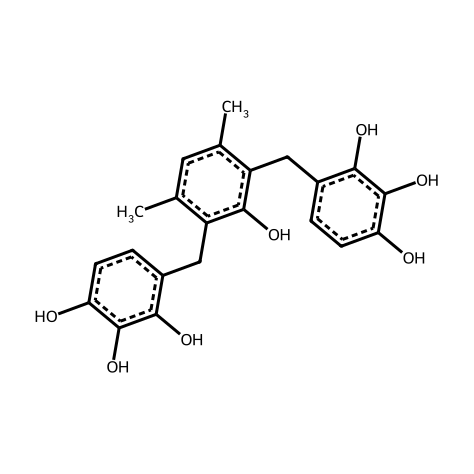 Cc1cc(C)c(Cc2ccc(O)c(O)c2O)c(O)c1Cc1ccc(O)c(O)c1O